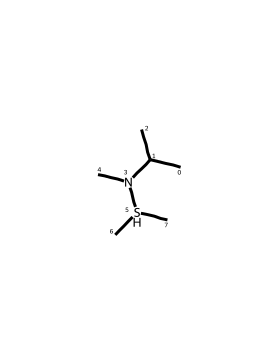 CC(C)N(C)[SH](C)C